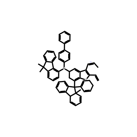 C=Cc1oc2c(c1/C=C\C)=CC(N(c1ccc(-c3ccccc3)cc1)c1cccc3c1-c1ccccc1C3(C)C)CC=2C1(C2=CCCC=C2)c2ccccc2C2C=CC=CC21C